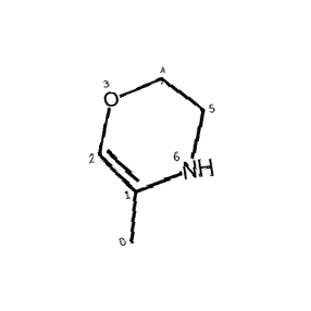 CC1=CO[CH]CN1